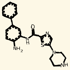 Nc1ccc(-c2ccccc2)cc1NC(=O)c1ncc(N2CCNCC2)s1